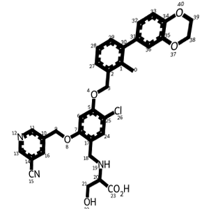 Cc1c(COc2cc(OCc3cncc(C#N)c3)c(CNC(CO)C(=O)O)cc2Cl)cccc1-c1ccc2c(c1)OCCO2